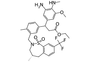 CCOC(=O)CC(c1ccc(C)c(CN2C[C@@H](C)Cc3ccc(C(F)(F)F)cc3S2(=O)=O)c1)c1cc(N)c(NC)c(OC)c1